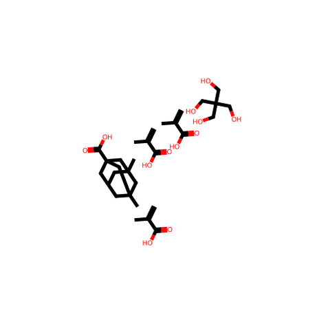 C=C(C)C(=O)O.C=C(C)C(=O)O.C=C(C)C(=O)O.CC12CC3CC(C)(C1)CC(C(=O)O)(C3)C2.OCC(CO)(CO)CO